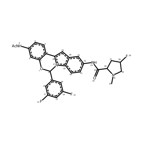 CC(=O)Nc1ccc2c(c1)OC(c1cc(F)cc(F)c1)n1c-2cc2cc(NC(=O)C3CC(F)CN3C)ccc21